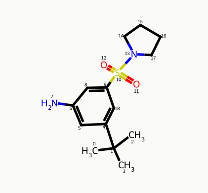 CC(C)(C)c1cc(N)cc(S(=O)(=O)N2CCCC2)c1